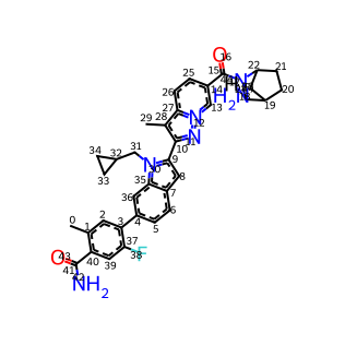 Cc1cc(-c2ccc3cc(-c4nn5cc(C(=O)N6CC7CCC6[C@@H]7N)ccc5c4C)n(CC4CC4)c3c2)c(F)cc1C(N)=O